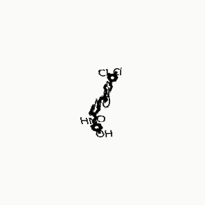 O=C(Nc1ccc(O)cc1)C1CCN(CC(=O)N2CCN(c3ccc(Cl)c(Cl)c3)CC2)C1